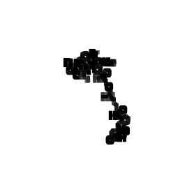 CC[C@@H]1C(=O)N(C)c2cnc(Nc3ccc(C(=O)NCCOCCNCCCCC(=O)Nc4cccc5c4CN(C4CCC(=O)NC4=O)C5=O)cc3OC)nc2N1Cc1ccc(Br)cc1